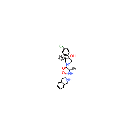 CC(C)[C@@H](NC(=O)[C@H]1Cc2ccccc2CN1)C(=O)N1CC[C@](O)(c2ccc(Cl)cc2)C(C)(C)C1